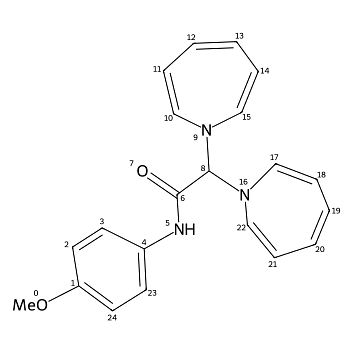 COc1ccc(NC(=O)C(N2C=CC=CC=C2)N2C=CC=CC=C2)cc1